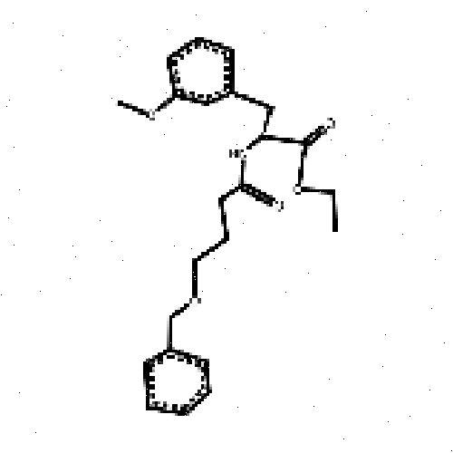 CCOC(=O)[C@H](Cc1cccc(OC)c1)NC(=O)CCCOCc1ccccc1